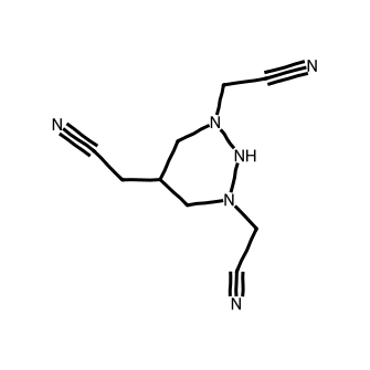 N#CCC1CN(CC#N)NN(CC#N)C1